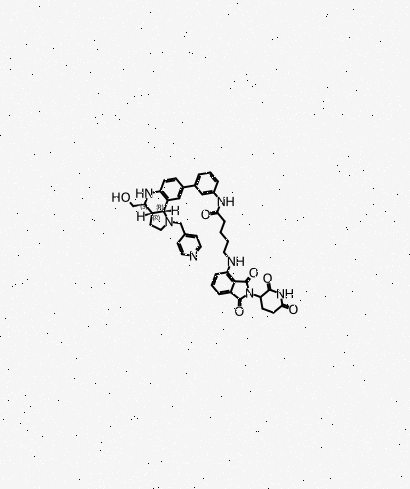 O=C1CCC(N2C(=O)c3cccc(NCCCCC(=O)Nc4cccc(-c5ccc6c(c5)[C@H]5[C@H](CCN5Cc5ccncc5)[C@@H](CO)N6)c4)c3C2=O)C(=O)N1